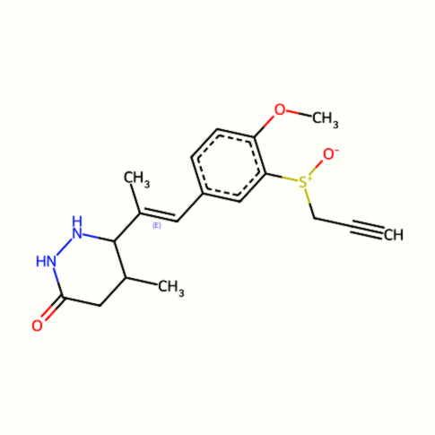 C#CC[S+]([O-])c1cc(/C=C(\C)C2NNC(=O)CC2C)ccc1OC